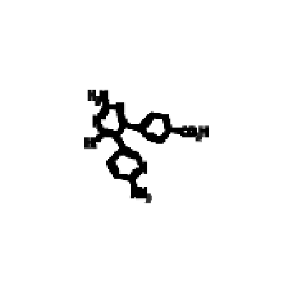 CCc1nc(N)nc(-c2ccc(C(=O)O)cc2)c1-c1ccc(N)nc1